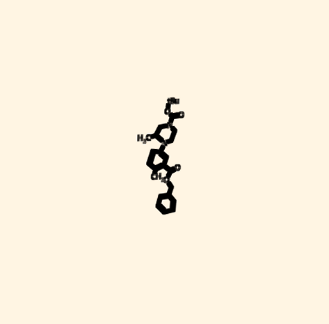 Cc1ccc(N2CCN(C(=O)OC(C)(C)C)CC2C)cc1C(=O)OCc1ccccc1